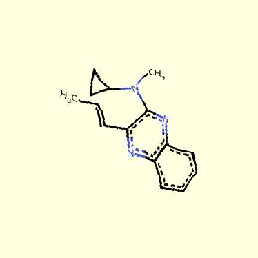 C/C=C/c1nc2ccccc2nc1N(C)C1CC1